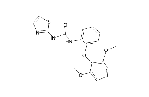 COc1cccc(OC)c1Oc1ccccc1NC(=O)Nc1nccs1